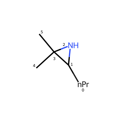 CCCC1NC1(C)C